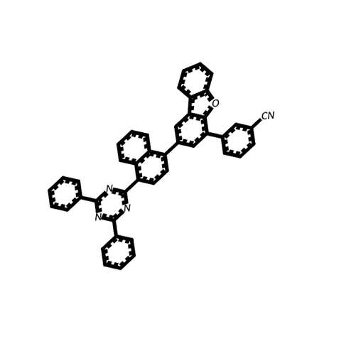 N#Cc1cccc(-c2cc(-c3ccc(-c4nc(-c5ccccc5)nc(-c5ccccc5)n4)c4ccccc34)cc3c2oc2ccccc23)c1